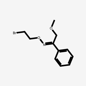 COCC(=NOCCBr)c1ccccc1